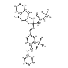 COCOCC(C=Cc1ccc(OCc2ccccc2)c(C(F)(F)F)c1)(CCOC1CCCCO1)NC(=O)OC(C)(C)C